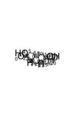 COC[C@@]1(O)CC[C@]2(C)C3CC[C@@]4(C)C(CCC4(O)C(C)=O)[C@@H]3CC[C@@H]2C1